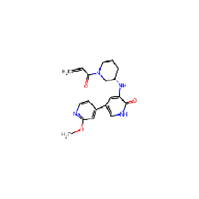 C=CC(=O)N1CCC[C@H](Nc2cc(-c3ccnc(OC)c3)c[nH]c2=O)C1